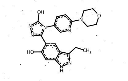 CCc1n[nH]c2cc(O)c(-c3nnc(O)n3-c3ccc(N4CCOCC4)nc3)cc12